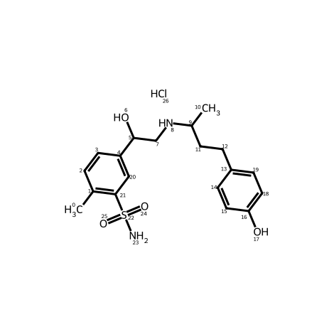 Cc1ccc(C(O)CNC(C)CCc2ccc(O)cc2)cc1S(N)(=O)=O.Cl